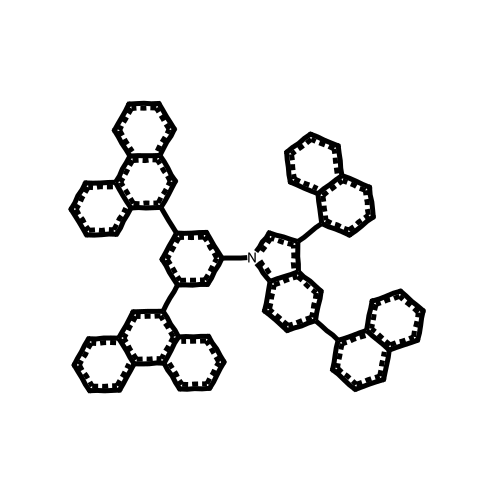 c1ccc2c(-c3ccc4c(c3)c(-c3cccc5ccccc35)cn4-c3cc(-c4cc5ccccc5c5ccccc45)cc(-c4cc5ccccc5c5ccccc45)c3)cccc2c1